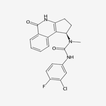 CN(C(=O)Nc1ccc(F)c(Cl)c1)[C@@H]1CCc2[nH]c(=O)c3ccccc3c21